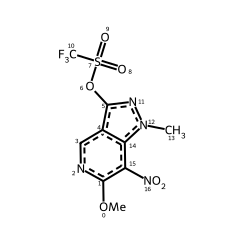 COc1ncc2c(OS(=O)(=O)C(F)(F)F)nn(C)c2c1[N+](=O)[O-]